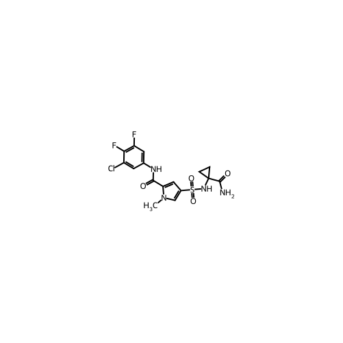 Cn1cc(S(=O)(=O)NC2(C(N)=O)CC2)cc1C(=O)Nc1cc(F)c(F)c(Cl)c1